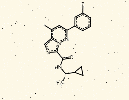 Cc1cc(-c2cccc(F)c2)nn2c(C(=O)N[C@H](C3CC3)C(F)(F)F)ncc12